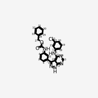 O=C(Nc1cccc(-c2n[nH]c3ncnc(Nc4cccc(Cl)c4)c23)c1)OCc1ccccc1